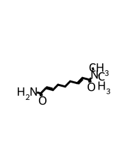 CN(C)C(=O)C=CCCCC=CC(N)=O